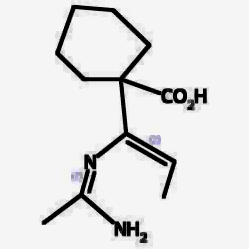 C/C=C(\N=C(\C)N)C1(C(=O)O)CCCCC1